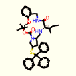 CCOc1ccccc1CNC(=O)[C@@H](NCC1CC(SC(c2ccccc2)(c2ccccc2)c2ccccc2)CN1C(=O)OC(C)(C)C)C(C)CC